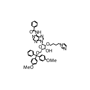 COc1ccc(C(OC[C@H]2O[C@@H](n3cnc4c(NC(=O)c5ccccc5)ncnc43)[C@H](OCCCCn3ccnc3)[C@@H]2O)(c2ccccc2)c2ccc(OC)cc2)cc1